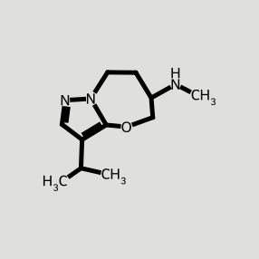 CNC1CCn2ncc(C(C)C)c2OC1